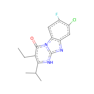 CCc1c(C(C)C)[nH]c2nc3cc(Cl)c(F)cc3n2c1=O